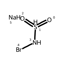 O=[SH](=O)NBr.[NaH]